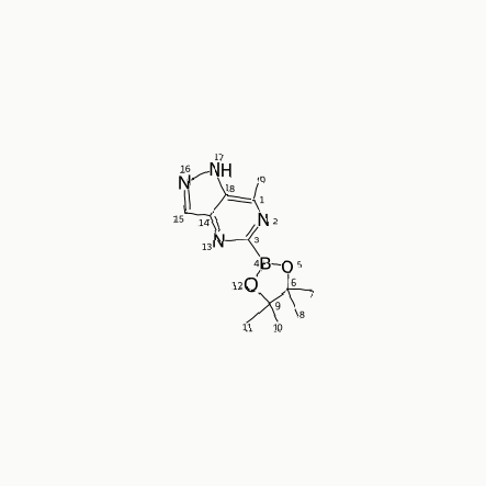 Cc1nc(B2OC(C)(C)C(C)(C)O2)nc2cn[nH]c12